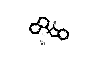 CC1(c2cccc3ccccc23)C=c2ccccc2=[C]1[Hf].Cl.Cl